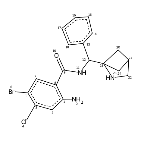 Nc1cc(Cl)c(Br)cc1C(=O)NC(c1ccccc1)C12CC(CN1)C2